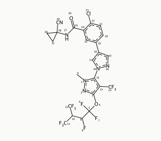 Cn1nc(OC(F)(F)C(F)C(C(F)(F)F)C(F)(F)F)c(C(F)(F)F)c1-n1cc(-c2ccc(Cl)c(C(=O)NC3(C#N)CC3)c2)cn1